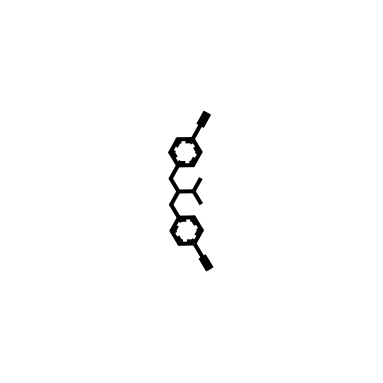 C#Cc1ccc(CC(Cc2ccc(C#C)cc2)C(C)C)cc1